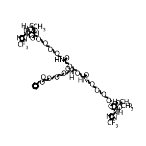 CC1(C)O[C@@H]2[C@H](O1)[C@@H](Nc1cncc(C(F)(F)F)n1)CO[C@@H]2COCCOCCOCCOCCNC(=O)CCOCC(COCCC(=O)NCCOCCOCCOCCOCC1OC[C@H](Nc2cncc(C(F)(F)F)n2)[C@H]2OC(C)(C)O[C@@H]12)NC(=O)COCCOCCOCC(=O)OCc1ccccc1